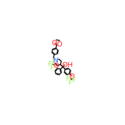 OC(c1ccc(OC(F)(F)F)cc1)(c1ccccc1OC(F)(F)F)C1CCN(Cc2ccc(C3OCCO3)cc2)CC1